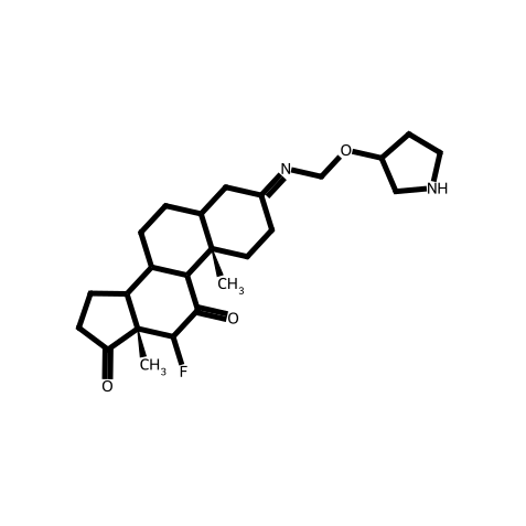 C[C@]12CCC(=NCOC3CCNC3)CC1CCC1C2C(=O)C(F)[C@]2(C)C(=O)CCC12